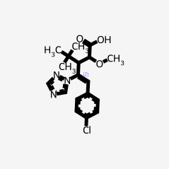 COC(C(=O)O)C(/C(=C/c1ccc(Cl)cc1)n1cncn1)C(C)(C)C